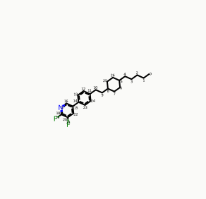 CCCCCC1CCC(CCc2ccc(-c3cnc(F)c(F)c3)cc2)CC1